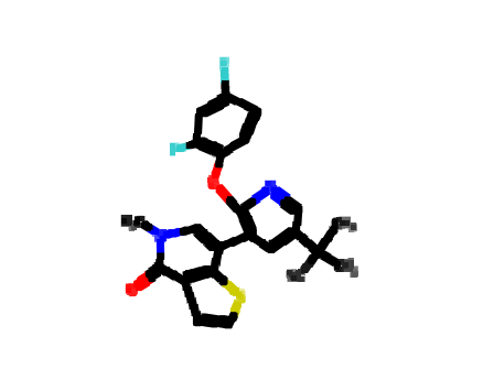 Cn1cc(-c2cc(C(C)(C)C#N)cnc2Oc2ccc(F)cc2F)c2sccc2c1=O